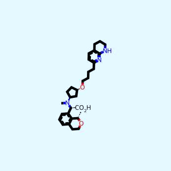 C[C@@H]1OCCc2cccc([C@@H](C(=O)O)N(C)[C@H]3CC[C@H](OCCCCc4ccc5c(n4)NCCC5)C3)c21